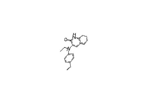 C=Cc1ccc(N(CC)c2cc3ccccc3[nH]c2=O)cc1